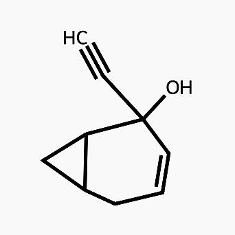 C#CC1(O)C=CCC2CC21